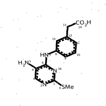 CSc1ncc(N)c(Nc2cccc(CC(=O)O)c2)n1